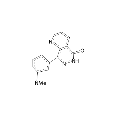 CNc1cccc(-c2n[nH]c(=O)c3cccnc23)c1